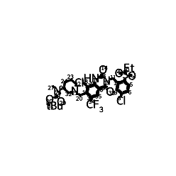 CCS(=O)(=O)c1ccc(Cl)cc1Cn1c(=O)[nH]c2c(Cl)c(CN3CCC[C@@H](N(C)C(=O)OC(C)(C)C)C3)c(C(F)(F)F)cc2c1=O